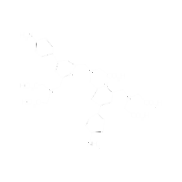 Nc1ccc(-c2cc(CN(CC(=O)O)CC(=O)O)nc(CN(CC(=O)O)Cc3cc(-c4ccc(N)cc4)cc(CN(CC(=O)O)CC(=O)O)n3)c2)cc1